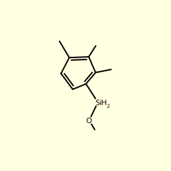 CO[SiH2]c1ccc(C)c(C)c1C